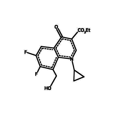 CCOC(=O)c1cn(C2CC2)c2c(CO)c(F)c(F)cc2c1=O